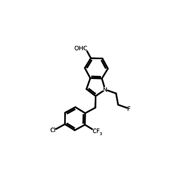 O=Cc1ccc2c(c1)cc(Cc1ccc(Cl)cc1C(F)(F)F)n2CCF